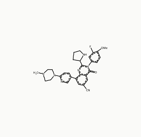 COc1ccc(-n2c(C3CCCN3)nc3c(-c4ccc(N5CCN(C)CC5)nc4)cc(C#N)cc3c2=O)cc1F